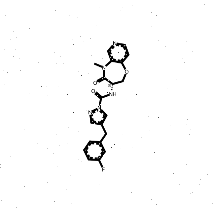 CN1C(=O)[C@@H](NC(=O)n2cc(Cc3cccc(F)c3)cn2)COc2ccncc21